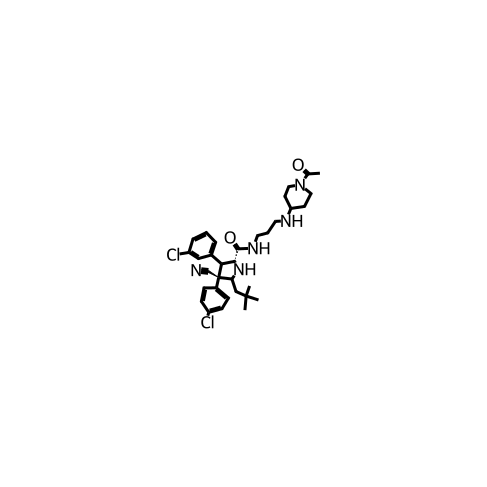 CC(=O)N1CCC(NCCCNC(=O)[C@@H]2NC(CC(C)(C)C)[C@](C#N)(c3ccc(Cl)cc3)C2c2cccc(Cl)c2)CC1